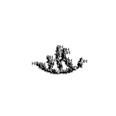 CCC(O)Cn1cc(COCC(Cn2cc(COCC(COCc3cn(CC(COCc4cn(CC(O)CO)nn4)OCC(=C/NCC(O)CO)/N=N\C)nn3)OCc3cn(CC(COCc4cn(CC(O)CO)nn4)OCCc4cn(CC(O)CO)nn4)nn3)nn2)OCc2cn(CC(O)CO)nn2)nn1